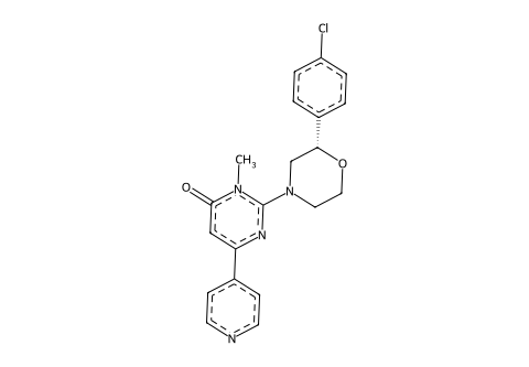 Cn1c(N2CCO[C@@H](c3ccc(Cl)cc3)C2)nc(-c2ccncc2)cc1=O